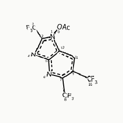 CC(=O)On1c(C(F)(F)F)nc2nc(C(F)(F)F)c(C(F)(F)F)cc21